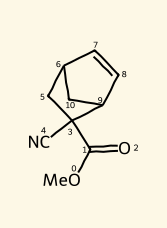 COC(=O)C1(C#N)CC2C=CC1C2